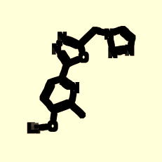 CCOc1ccc(-c2nnc(Cn3ccnn3)o2)nc1C